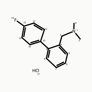 CN(C)Cc1ccccc1-c1ccc(F)cc1.Cl